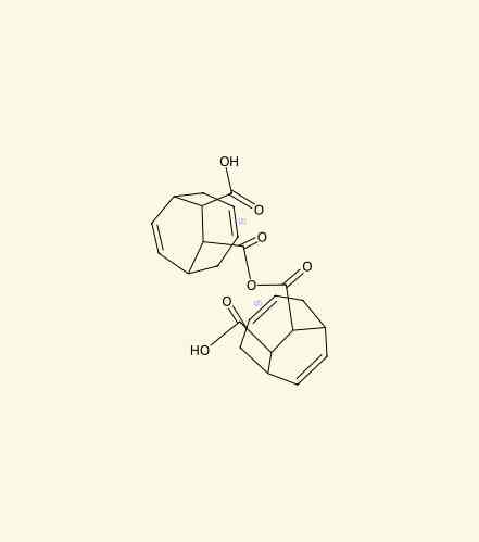 O=C(O)C1C2C=CC(C/C=C\C2)C1C(=O)OC(=O)C1C2C=CC(C/C=C\C2)C1C(=O)O